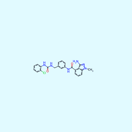 Cn1nc(N)c2c(C(=O)Nc3cccc(CNC(=O)Nc4ccccc4Cl)c3)cccc21